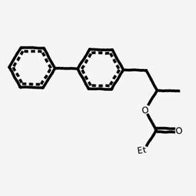 CCC(=O)OC(C)Cc1ccc(-c2ccccc2)cc1